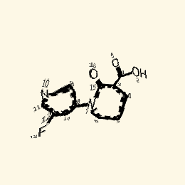 O=C(O)c1cccn(-c2cncc(F)c2)c1=O